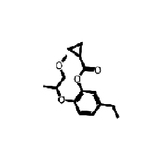 CCc1ccc(OC(C)COC)c(OC(=O)C2CC2)c1